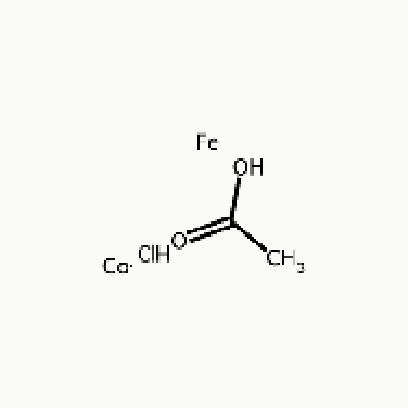 CC(=O)O.Cl.[Co].[Fe]